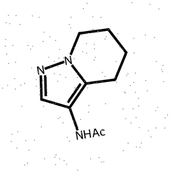 CC(=O)Nc1cnn2c1CCCC2